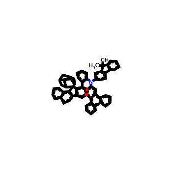 CC1(C)c2ccccc2-c2ccc(N(c3ccc4c5ccccc5c5ccccc5c4c3)c3ccccc3-c3cccc4c3C3(c5c-4ccc4ccccc54)C4CC5CC(C4)CC3C5)cc21